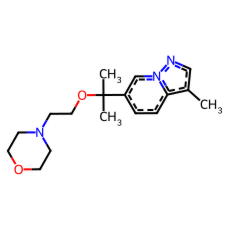 Cc1cnn2cc(C(C)(C)OCCN3CCOCC3)ccc12